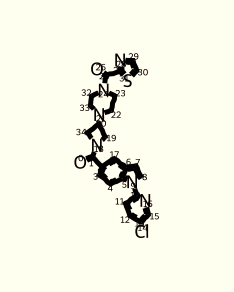 O=C(c1ccc2c(ccn2-c2ccc(Cl)cn2)c1)N1CC(N2CCN(C(=O)c3nccs3)CC2)C1